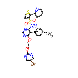 Cc1ccc(-c2c(NS(=O)(=O)c3ccsc3-c3ccccn3)ncnc2OCCOc2ncc(Br)cn2)cc1